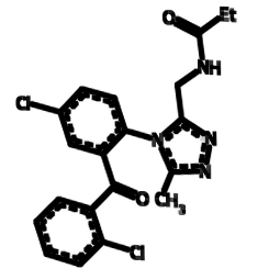 CCC(=O)NCc1nnc(C)n1-c1ccc(Cl)cc1C(=O)c1ccccc1Cl